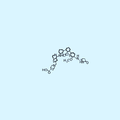 COc1nc(-c2cccc(-c3cccc(Nc4nccc5sc(CN6CC7CC6CC7C(=O)O)cc45)c3Cl)c2Cl)ccc1CNC[C@@H]1CCC(=O)N1